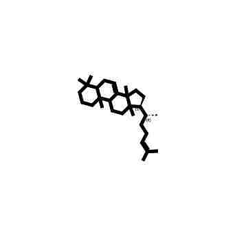 CC(C)=CCC[C@@H](C)[C@@H]1CCC2(C)C3=CCC4C(C)(C)CCCC4(C)C3CCC12C